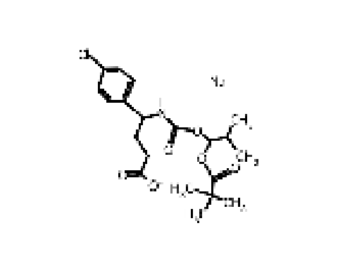 CC(C)C(OC(=O)NC(CCC(=O)[O-])c1ccc(Cl)cc1)OC(=O)C(C)(C)C.[Na+]